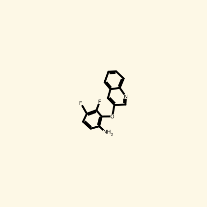 Nc1ccc(F)c(F)c1Oc1cnc2ccccc2c1